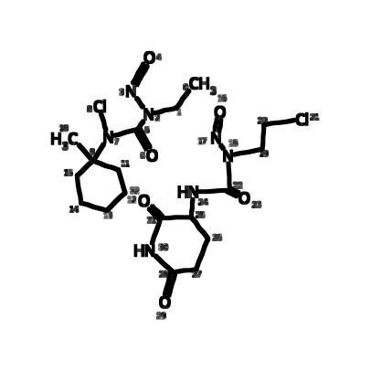 CCN(N=O)C(=O)N(Cl)C1(C)CCCCC1.O=NN(CCCl)C(=O)NC1CCC(=O)NC1=O